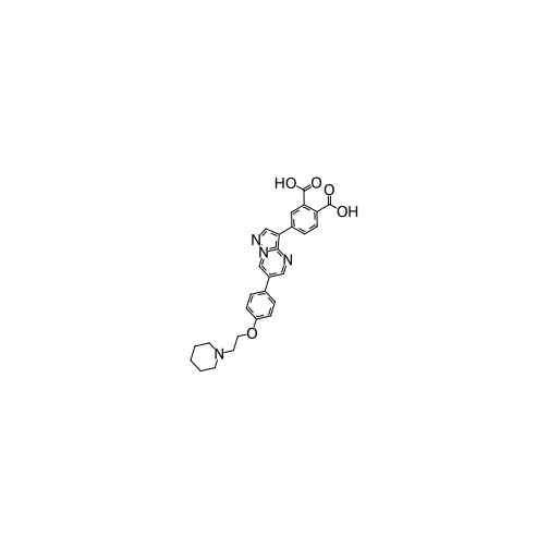 O=C(O)c1ccc(-c2cnn3cc(-c4ccc(OCCN5CCCCC5)cc4)cnc23)cc1C(=O)O